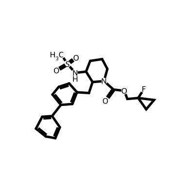 CS(=O)(=O)NC1CCCN(C(=O)OCC2(F)CC2)C1Cc1cccc(-c2ccccc2)c1